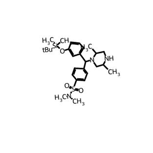 CC1CN(C(c2ccc(S(=O)(=O)N(C)C)cc2)c2cccc(O[Si](C)(C)C(C)(C)C)c2)C(C)CN1